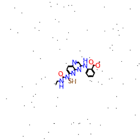 CCNC(=O)N(S)c1ccc2ncc(Nc3ccccc3C(=O)OC)nc2n1